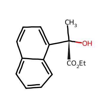 CCOC(=O)[C@@](C)(O)c1cccc2ccccc12